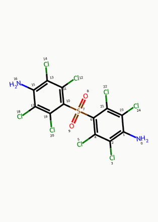 Nc1c(Cl)c(Cl)c(S(=O)(=O)c2c(Cl)c(Cl)c(N)c(Cl)c2Cl)c(Cl)c1Cl